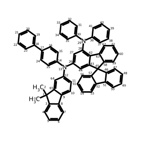 CC1(C)c2ccccc2-c2ccc(N(c3ccc(-c4ccccc4)cc3)c3cc(N(c4ccccc4)c4ccccc4)c4c(c3)C3(c5ccccc5-c5ccccc53)c3ccccc3-4)cc21